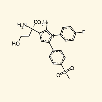 Cc1c([C@](N)(CCO)C(=O)O)cc(-c2ccc(S(C)(=O)=O)cc2)n1-c1ccc(F)cc1